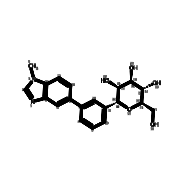 Cn1cnc2cc(-c3cccc([C@H]4O[C@H](CO)[C@@H](O)[C@H](O)[C@@H]4O)c3)ccc21